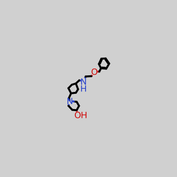 OC1CCN(CC2CCC(CNCCOCc3ccccc3)CC2)CC1